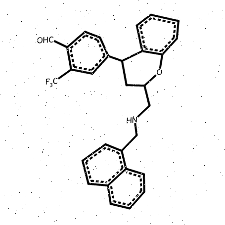 O=Cc1ccc(C2CC(CNCc3cccc4ccccc34)Oc3ccccc32)cc1C(F)(F)F